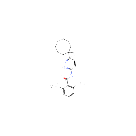 COc1cccc(OC)c1C(=O)Nc1ccc(C2(C)CCCCCCC2)nn1